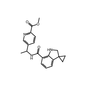 COC(=O)c1ccc(C(C)NC(=O)c2cccc3c2NCC32CC2)cn1